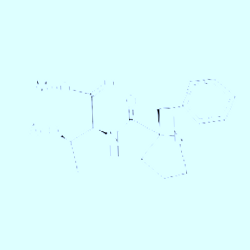 COC(=O)[C@@H](NC(=O)[C@@]1(Cc2ccccc2)CCCN1)[C@@H](C)OC(C)=O